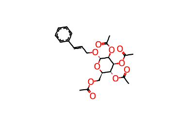 CC(=O)OC[C@H]1O[C@H](OC/C=C/c2ccccc2)[C@@H](OC(C)=O)[C@@H](OC(C)=O)[C@@H]1OC(C)=O